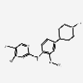 O=C(O)N1CCC(c2ccc(Nc3ncc(C(F)(F)F)c(Cl)n3)c(OC(F)(F)F)c2)CC1